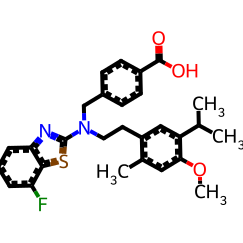 COc1cc(C)c(CCN(Cc2ccc(C(=O)O)cc2)c2nc3cccc(F)c3s2)cc1C(C)C